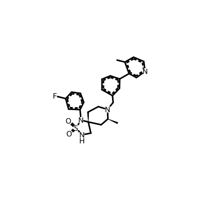 Cc1ccncc1-c1cccc(CN2CC[C@]3(CNS(=O)(=O)N3c3cccc(F)c3)C[C@@H]2C)c1